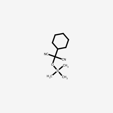 C[Si](C)(C)OC(C#N)(C#N)C1CCCCC1